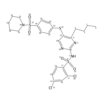 CCCCc1nc(NS(=O)(=O)c2ccc(Cl)cc2Cl)ncc1Sc1ccc(S(=O)(=O)N2CCCCC2)cc1